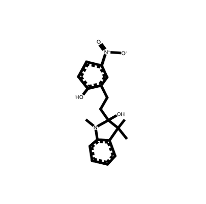 CN1c2ccccc2C(C)(C)C1(O)CCc1cc([N+](=O)[O-])ccc1O